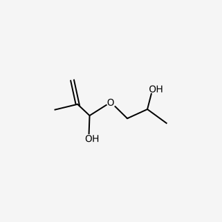 C=C(C)C(O)OCC(C)O